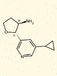 N[C@@H]1CCO[C@H]1c1cncc(C2CC2)c1